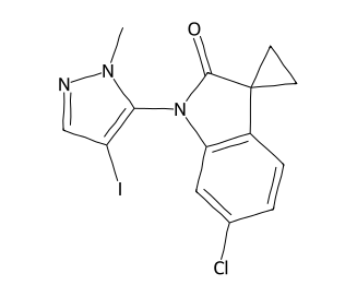 Cn1ncc(I)c1N1C(=O)C2(CC2)c2ccc(Cl)cc21